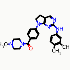 Cc1ccc(Nc2ncc3c(n2)N(c2ccc(C(=O)N4CCN(C)CC4)cc2)CC3)cc1C